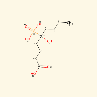 CCCCC(O)(CCCC(=O)O)P(=O)(O)O